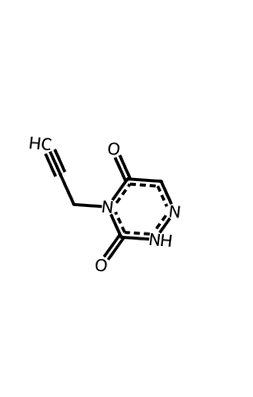 C#CCn1c(=O)cn[nH]c1=O